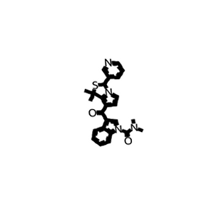 CN(C)C(=O)n1cc(C(=O)c2ccn3c2C(C)(C)SC3c2cccnc2)c2ccccc21